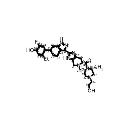 CCCN1Cc2[nH]c(-c3n[nH]c4cc(-c5cc(F)c(O)cc5CC)ccc34)nc2C[C@H]1C(=O)N1CCN(CCO)C[C@H]1C